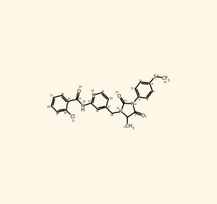 CC1C(=O)N(c2ccc(SC(F)(F)F)cc2)C(=O)N1Cc1ccnc(NC(=O)c2ccccc2Cl)c1